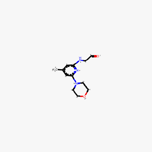 Cc1cc(NCC=O)nc(N2CCOCC2)c1